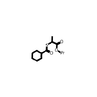 CC(C)OC(=O)C(C)SC(=O)C1CCCCC1